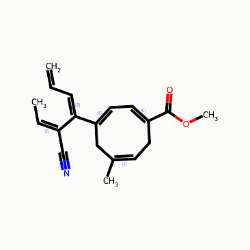 C=C/C=C(C(\C#N)=C/C)/C1=C/C=C(/C(=O)OC)C/C=C(/C)C1